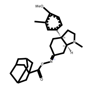 COc1ccc([C@@]23CC/C(=N\OC(=O)C45CC6CC(CC(C6)C4)C5)C[C@@H]2N(C)CC3)cc1C